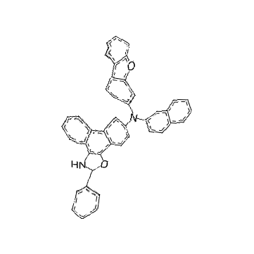 c1ccc(C2Nc3c(c4ccc(N(c5ccc6ccccc6c5)c5ccc6c(c5)oc5ccccc56)cc4c4ccccc34)O2)cc1